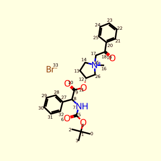 CC(C)(C)OC(=O)NC(C(=O)O[C@@H]1CC[N+](C)(CC(=O)c2ccccc2)C1)c1ccccc1.[Br-]